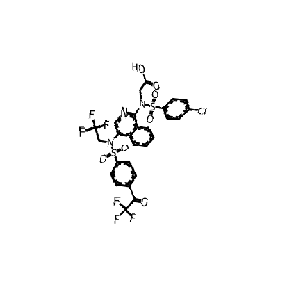 O=C(O)CN(c1ncc(N(CC(F)(F)F)S(=O)(=O)c2ccc(C(=O)C(F)(F)F)cc2)c2ccccc12)S(=O)(=O)c1ccc(Cl)cc1